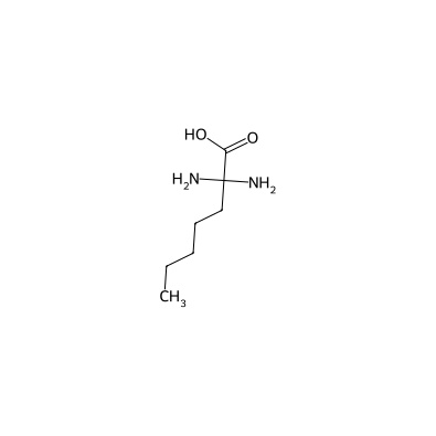 CCCCCC(N)(N)C(=O)O